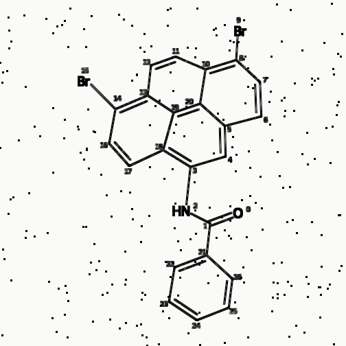 O=C(Nc1cc2ccc(Br)c3ccc4c(Br)ccc1c4c23)c1ccccc1